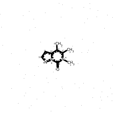 Cc1c(C)n(C)c(=O)n2nccc12